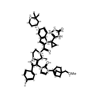 COCC12CCC(n3ccn(-c4c(-c5ccc(F)cc5)nn5c4[C@H](C)N(C(=O)c4cc6cc([C@@H]7CCOC(C)(C)C7)ccc6n4C4(c6noc(=O)[nH]6)CC4)CC5)c3=O)=C(C1)C2